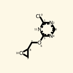 Clc1ncnc(OCC2CO2)n1